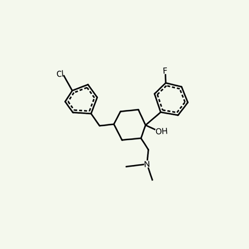 CN(C)CC1CC(Cc2ccc(Cl)cc2)CCC1(O)c1cccc(F)c1